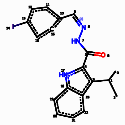 CC(C)c1c(C(=O)N/N=C\c2ccc(I)cc2)[nH]c2ccccc12